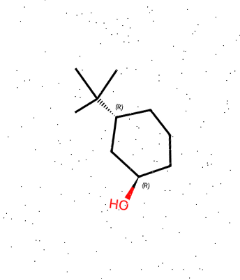 CC(C)(C)[C@@H]1CCC[C@@H](O)C1